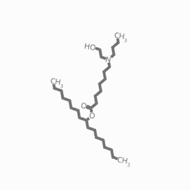 CCCCCCCCC(CCCCCCCC)OC(=O)CCCCCCCN(CCO)CCCC